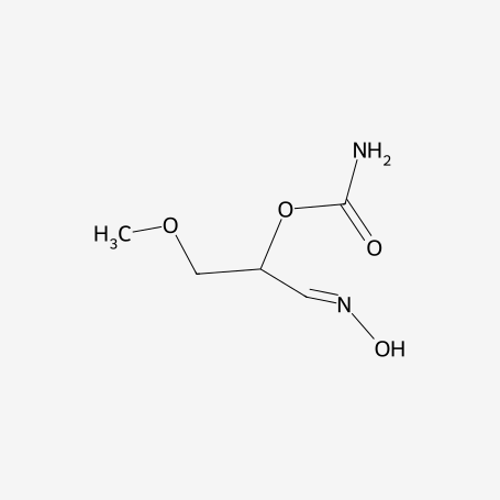 COCC(C=NO)OC(N)=O